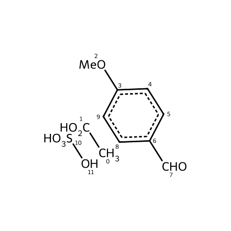 CC(=O)O.COc1ccc(C=O)cc1.O=S(=O)(O)O